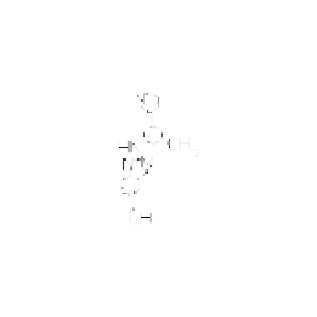 C#Cc1ccc2nc(Nc3cc(C)cc(-c4cccnc4)c3)ncc2c1